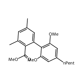 CCCCCc1cc(OC)c(-c2cc(C)cc(C)c2C(=O)OC)c(OC)c1